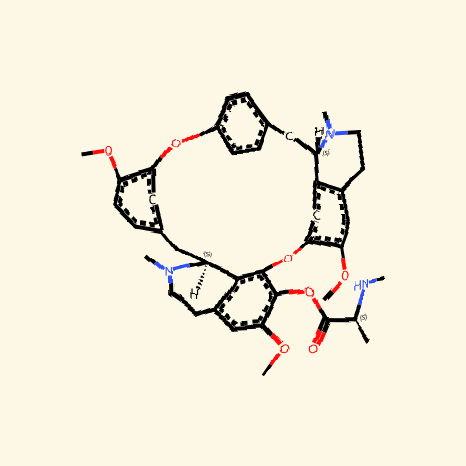 CN[C@@H](C)C(=O)Oc1c(OC)cc2c3c1Oc1cc4c(cc1OC)CCN(C)[C@H]4Cc1ccc(cc1)Oc1cc(ccc1OC)C[C@@H]3N(C)CC2